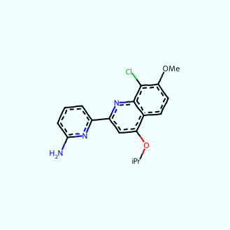 COc1ccc2c(OC(C)C)cc(-c3cccc(N)n3)nc2c1Cl